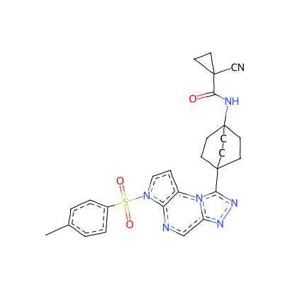 Cc1ccc(S(=O)(=O)n2ccc3c2ncc2nnc(C45CCC(NC(=O)C6(C#N)CC6)(CC4)CC5)n23)cc1